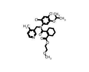 COCCOC(=O)C1=C(C(=O)N(Cc2cnccc2C)c2cc(OC(C)C)c(Cl)cc2Cl)CCCC1